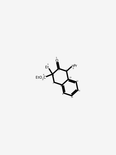 CCCC1C(=O)C(CC)(C(=O)OCC)Cc2ccccc21